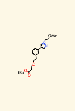 COCCn1cc(-c2cccc(CCOCCC(=O)OC(C)(C)C)c2)cn1